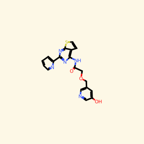 O=C(COCc1cncc(O)c1)Nc1nc(-c2ccccn2)nc2sccc12